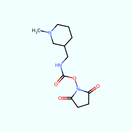 CN1CCCC(CNC(=O)ON2C(=O)CCC2=O)C1